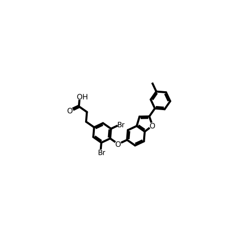 Cc1cccc(-c2cc3cc(Oc4c(Br)cc(CCC(=O)O)cc4Br)ccc3o2)c1